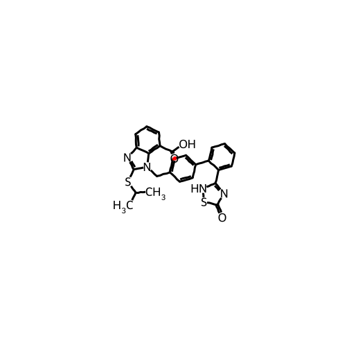 CC(C)Sc1nc2cccc(C(=O)O)c2n1Cc1ccc(-c2ccccc2-c2nc(=O)s[nH]2)cc1